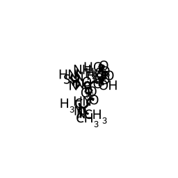 Cc1nn(C)c(C)c1CNC(=O)[C@@H]1OC2C(COP(=O)(O)OP(=O)(O)OP(=O)(O)O)OC(n3cnc4c(=S)[nH]c(N)nc43)C2O1